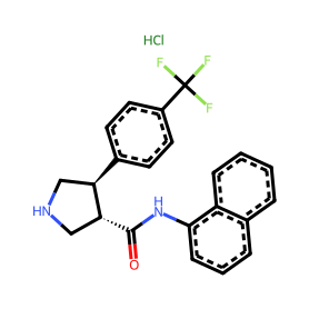 Cl.O=C(Nc1cccc2ccccc12)[C@@H]1CNC[C@H]1c1ccc(C(F)(F)F)cc1